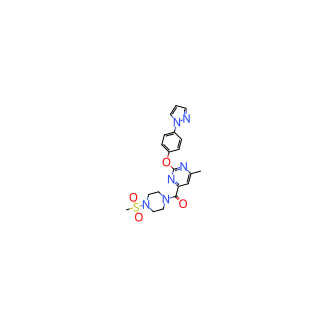 Cc1cc(C(=O)N2CCN(S(C)(=O)=O)CC2)nc(Oc2ccc(-n3cccn3)cc2)n1